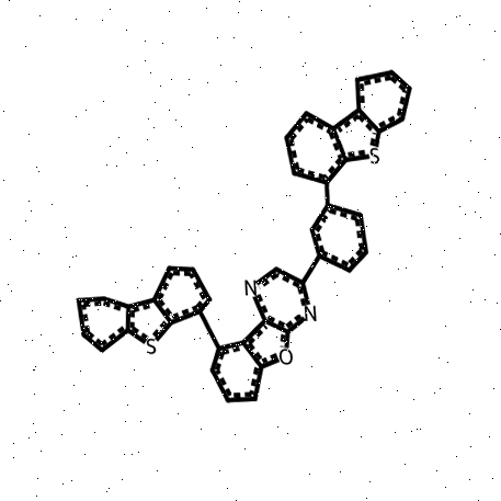 c1cc(-c2cnc3c(n2)oc2cccc(-c4cccc5c4sc4ccccc45)c23)cc(-c2cccc3c2sc2ccccc23)c1